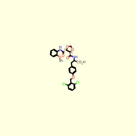 CC(C)Oc1ccccc1NC(=O)[C@@H]1OCO[C@H]1C(=O)NC(Cc1ccc(OCc2c(Cl)cccc2Cl)cc1)C(=O)O